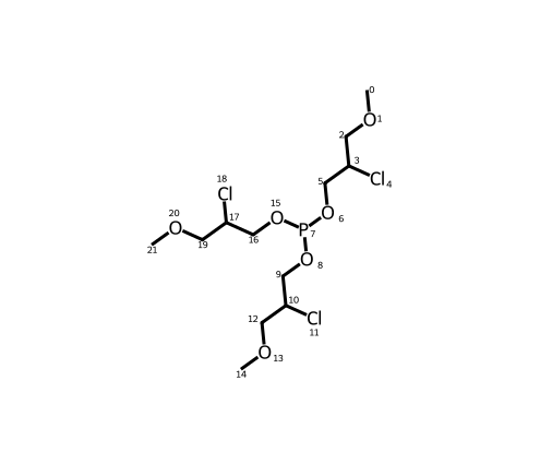 COCC(Cl)COP(OCC(Cl)COC)OCC(Cl)COC